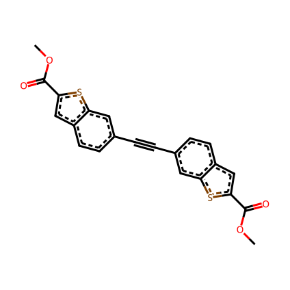 COC(=O)c1cc2ccc(C#Cc3ccc4cc(C(=O)OC)sc4c3)cc2s1